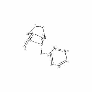 C=C1C2CCN(CC2)C1Cc1cccnc1